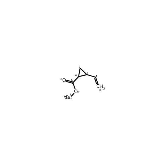 C=CC1C[C]1C(=O)OC(C)(C)C